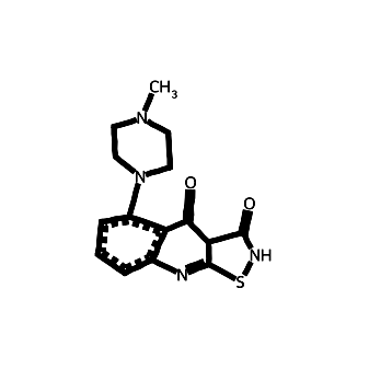 CN1CCN(c2cccc3c2C(=O)C2C(=O)NSC2=N3)CC1